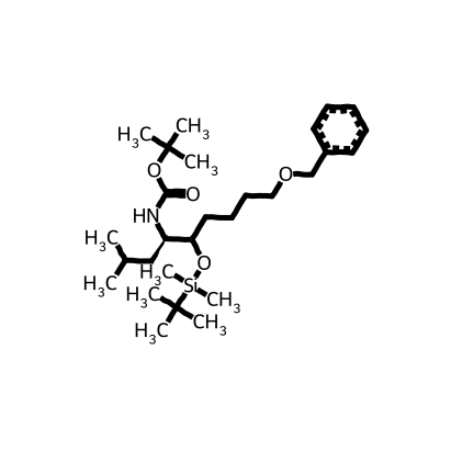 CC(C)C[C@@H](NC(=O)OC(C)(C)C)C(CCCCOCc1ccccc1)O[Si](C)(C)C(C)(C)C